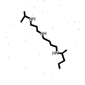 CCCC(C)NCCCCNCCCNC(C)C